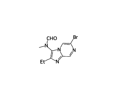 CCc1nc2cnc(Br)cn2c1N(C)C=O